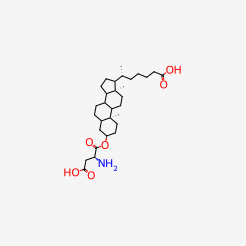 C[C@H](CCCCC(=O)O)C1CCC2C3CCC4C[C@H](OC(=O)[C@@H](N)CC(=O)O)CC[C@]4(C)C3CC[C@@]21C